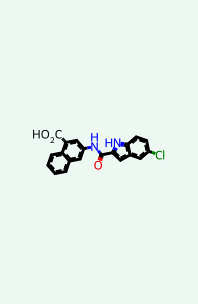 O=C(Nc1cc(C(=O)O)c2ccccc2c1)c1cc2cc(Cl)ccc2[nH]1